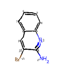 Nc1nc2ccccc2cc1Br